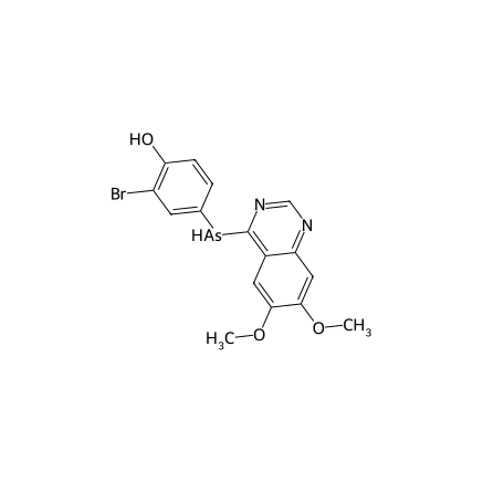 COc1cc2ncnc([AsH]c3ccc(O)c(Br)c3)c2cc1OC